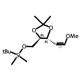 CO/C=C\[C@H]1OC(C)(C)O[C@@H]1CO[Si](C)(C)C(C)(C)C